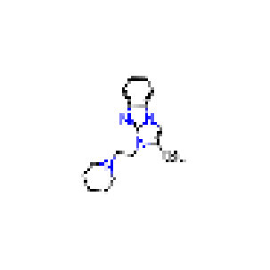 CC(C)(C)c1cn2c3ccccc3nc2n1CCN1CCCCC1